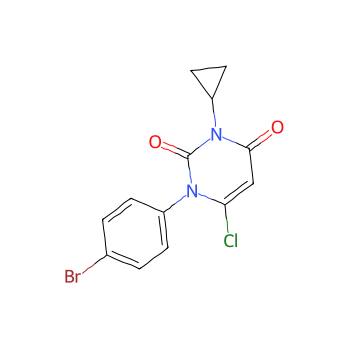 O=c1cc(Cl)n(-c2ccc(Br)cc2)c(=O)n1C1CC1